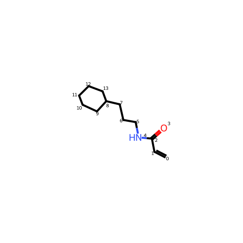 C=CC(=O)NCCCC1CCCCC1